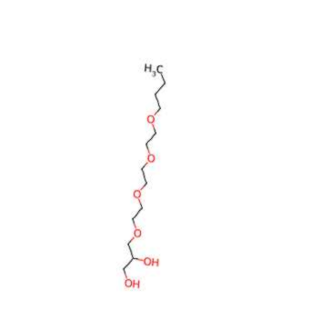 CCCCOCCOCCOCCOCC(O)CO